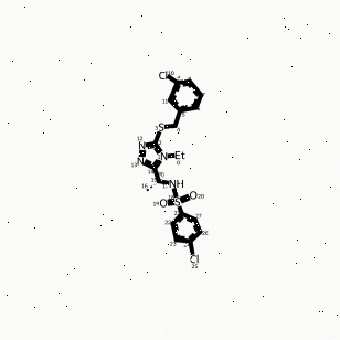 CCn1c(SCc2cccc(Cl)c2)nnc1[C@@H](C)NS(=O)(=O)c1ccc(Cl)cc1